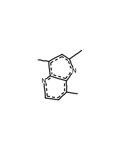 Cc1cc(C)c2nccc(C)c2n1